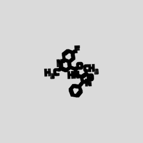 Cc1cc(C(=O)Nc2c(-c3ccccc3)noc2C)c2cc(F)ccc2n1